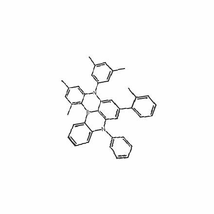 Cc1cc(C)cc(N2c3cc(C)cc(C)c3B3c4ccccc4N(c4ccccc4)c4cc(-c5ccccc5C)cc2c43)c1